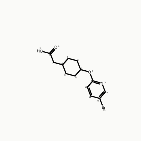 O=C(O)CC1CCC(Oc2ccc(Br)cn2)CC1